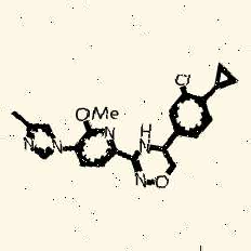 COc1nc(C2=NOCC(c3ccc(C4CC4)c(Cl)c3)N2)ccc1-n1cnc(C)c1